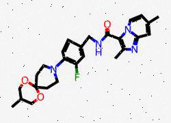 Cc1ccn2c(C(=O)NCc3ccc(N4CCC5(CC4)OCC(C)CO5)c(F)c3)c(C)nc2c1